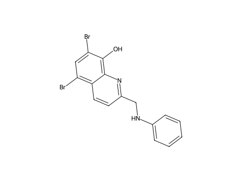 Oc1c(Br)cc(Br)c2ccc(CNc3ccccc3)nc12